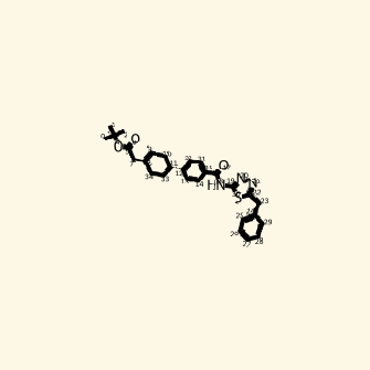 CC(C)(C)OC(=O)C[C@H]1CC[C@H](c2ccc(C(=O)Nc3nnc(Cc4ccccc4)s3)cc2)CC1